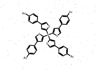 CC(=O)c1ccc(-c2csc(S(c3cc(-c4ccc(C(C)=O)cc4)cs3)(c3cc(-c4ccc(C(C)=O)cc4)cs3)c3cc(-c4ccc(C(C)=O)cc4)cs3)c2)cc1